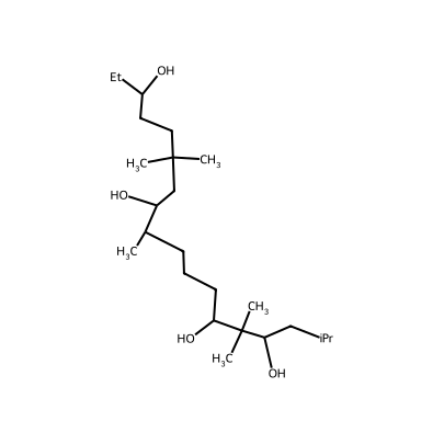 CCC(O)CCC(C)(C)CC(O)C(C)CCCC(O)C(C)(C)C(O)CC(C)C